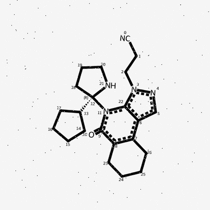 N#CCCn1ncc2c3c(c(=O)n([C@@]4(C5CCCC5)CCCN4)c21)CCCC3